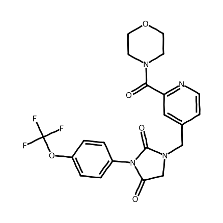 O=C(c1cc(CN2CC(=O)N(c3ccc(OC(F)(F)F)cc3)C2=O)ccn1)N1CCOCC1